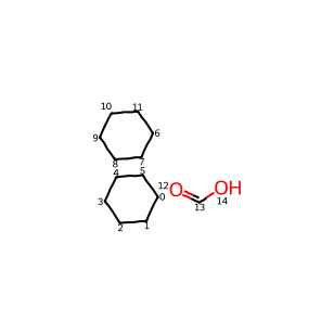 C1CCCCC1.C1CCCCC1.O=CO